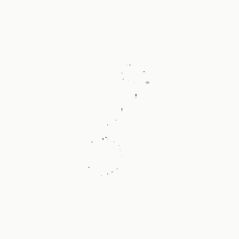 COC(=O)C1(CCCCC2CCCCCCC2)CO1